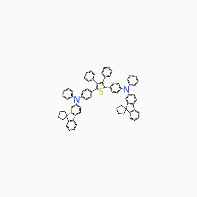 c1ccc(-c2c(-c3ccc(N(c4ccccc4)c4ccc5c(c4)C4(CCCC4)c4ccccc4-5)cc3)sc(-c3ccc(N(c4ccccc4)c4ccc5c(c4)C4(CCCC4)c4ccccc4-5)cc3)c2-c2ccccc2)cc1